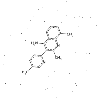 Cc1ccc(-c2c(C)nc3c(C)cccc3c2N)nc1